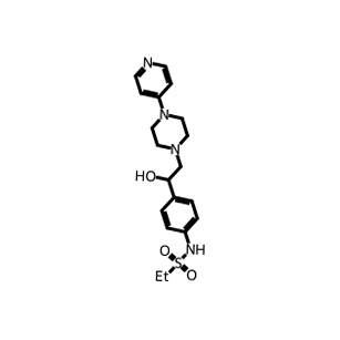 CCS(=O)(=O)Nc1ccc(C(O)CN2CCN(c3ccncc3)CC2)cc1